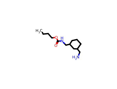 CCCCOC(=O)NCC1CCCC(CN)C1